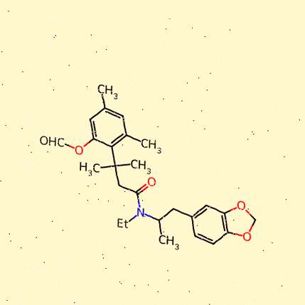 CCN(C(=O)CC(C)(C)c1c(C)cc(C)cc1OC=O)C(C)Cc1ccc2c(c1)OCO2